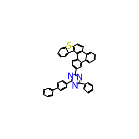 c1ccc(-c2ccc(-c3nc(-c4ccccc4)nc(-c4ccc5c(c4)c4ccccc4c4ccc6sc7ccccc7c6c45)n3)cc2)cc1